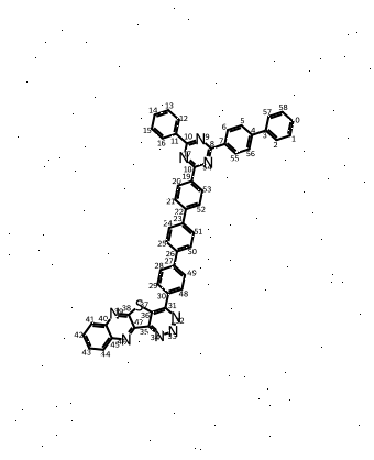 c1ccc(-c2ccc(-c3nc(-c4ccccc4)nc(-c4ccc(-c5ccc(-c6ccc(-c7nnnc8c7sc7nc9ccccc9nc78)cc6)cc5)cc4)n3)cc2)cc1